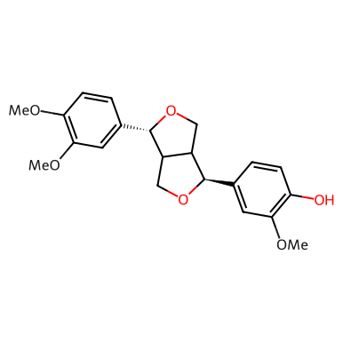 COc1cc([C@H]2OCC3C2CO[C@H]3c2ccc(OC)c(OC)c2)ccc1O